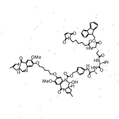 COc1cc2c(cc1OCCCCCOc1cc3c(cc1OC)C(=O)N1C=C(C)C[C@H]1[C@H](O)N3C(=O)OCc1ccc(NC(=O)[C@H](C)NC(=O)[C@@H](NC(=O)CC[C@H](NC(=O)CCCCCN3C(=O)C=CC3=O)C(=O)OCC3c4ccccc4-c4ccccc43)C(C)C)cc1)N=C[C@@H]1CC(C)=CN1C2=O